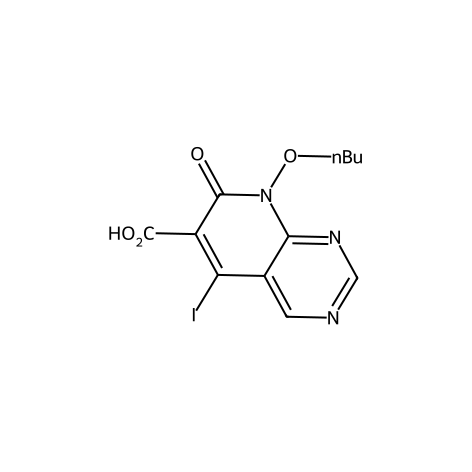 CCCCOn1c(=O)c(C(=O)O)c(I)c2cncnc21